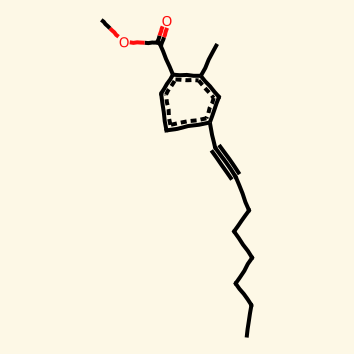 CCCCCCC#Cc1ccc(C(=O)OC)c(C)c1